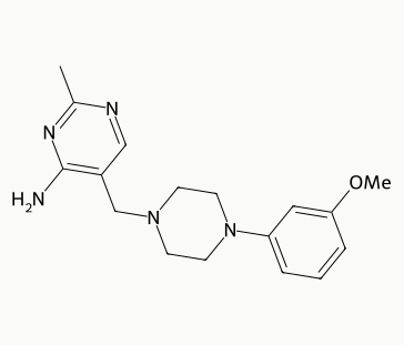 COc1cccc(N2CCN(Cc3cnc(C)nc3N)CC2)c1